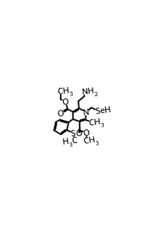 CCOC(=O)C1=C(CCN)N(C[SeH])C(C)=C(C(=O)OC)C1c1ccccc1SC